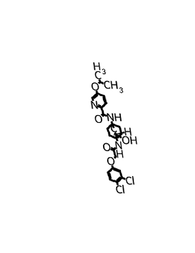 CC(C)Oc1ccc(C(=O)NC23CCC(NC(=O)COc4ccc(Cl)c(Cl)c4)(CC2)[C@@H](O)C3)nc1